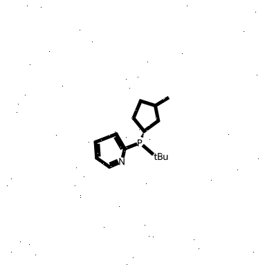 CC1CC[C@@H](P(c2ccccn2)C(C)(C)C)C1